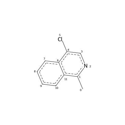 Cc1ncc(Cl)c2ccccc12